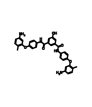 Cc1ccc(N)cc1Oc1ccc(NC(=O)c2cc(O)cc(C(=O)Nc3ccc(Oc4cc(N)ccc4C)cc3)c2)cc1